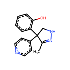 CC1=NNCC1(c1ccncc1)c1ccccc1O